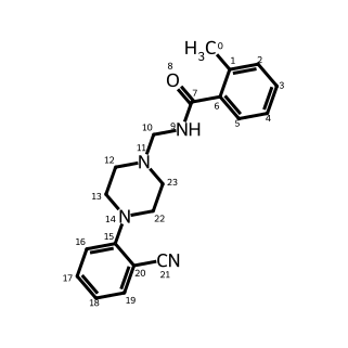 Cc1ccccc1C(=O)NCN1CCN(c2ccccc2C#N)CC1